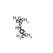 C=C(C)C(=O)OCCNc1ccc(C(C)C)cc1